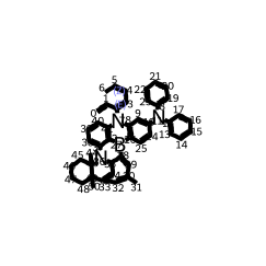 C=C/C(=C\C=C/C)N1c2cc(N(c3ccccc3)c3ccccc3)ccc2B2C3=CC(C)=CC4=CC3N(c3cccc1c32)C1(C)CCCCC41C